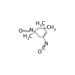 CC1(C)C=C(N=C=O)CC(C)(N=C=O)C1